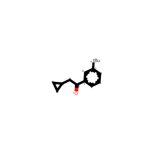 CC(C)(C)c1cccc(C(=O)CC2CC2)c1